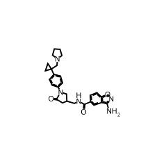 Nc1noc2ccc(C(=O)NCC3CC(=O)N(c4ccc(C5(CN6CCCC6)CC5)cc4)C3)cc12